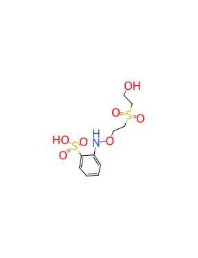 O=S(=O)(CCO)CCONc1ccccc1S(=O)(=O)O